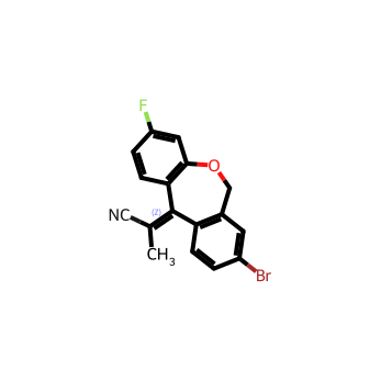 C/C(C#N)=C1\c2ccc(Br)cc2COc2cc(F)ccc21